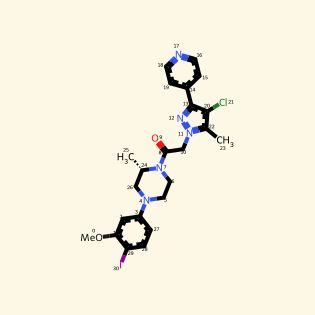 COc1cc(N2CCN(C(=O)Cn3nc(-c4ccncc4)c(Cl)c3C)[C@@H](C)C2)ccc1I